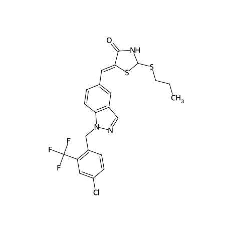 CCCSC1NC(=O)C(=Cc2ccc3c(cnn3Cc3ccc(Cl)cc3C(F)(F)F)c2)S1